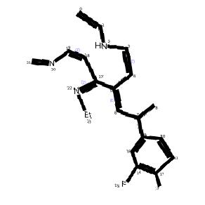 C=CN\C=C/C(=C\C(C)c1ccc(C)c(F)c1)C(/C=C\N=C)=N\CC